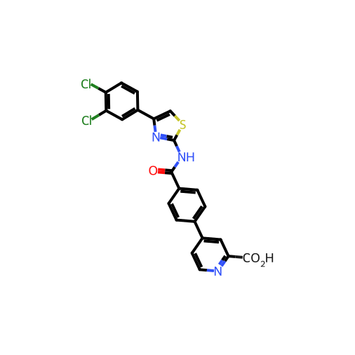 O=C(Nc1nc(-c2ccc(Cl)c(Cl)c2)cs1)c1ccc(-c2ccnc(C(=O)O)c2)cc1